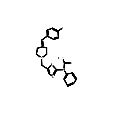 CC(=O)N(c1ccccc1)c1ncc(CN2CCC(=Cc3ccc(F)cc3)CC2)s1